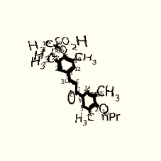 CCCOc1c(C)cc(C(=O)/C=C/c2cc(C)c(OC(C)(C)C(=O)O)c(C)c2)cc1C